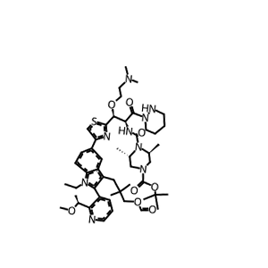 CCn1c(-c2cccnc2[C@H](C)OC)c(CC(C)(C)COC=O)c2cc(-c3csc([C@@H](OCCN(C)C)[C@H](NC(=O)N4[C@@H](C)CN(C(=O)OC(C)(C)C)C[C@@H]4C)C(=O)N4CCCCN4)n3)ccc21